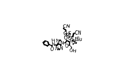 CC(C)(C)[Si](C)(C)O[C@H]1[C@@H](OP(=S)(OCCC#N)OCCC#N)[C@H](n2cnc3c(NC(=O)c4ccccc4)ncnc32)O[C@@H]1CO